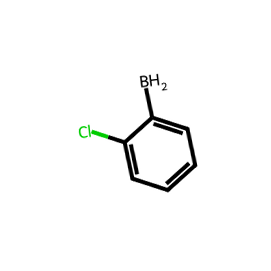 Bc1ccccc1Cl